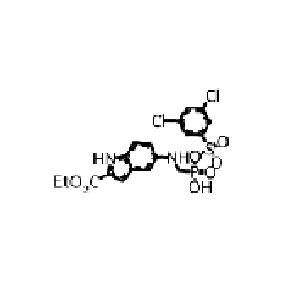 CCOC(=O)c1cc2cc(NCP(=O)(O)OS(=O)(=O)c3cc(Cl)cc(Cl)c3)ccc2[nH]1